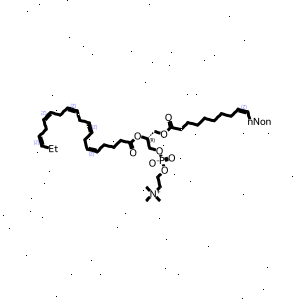 CC/C=C\C/C=C\C/C=C\C/C=C\C/C=C\CCCC(=O)O[C@H](COC(=O)CCCCCCC/C=C\CCCCCCCCC)COP(=O)([O-])OCC[N+](C)(C)C